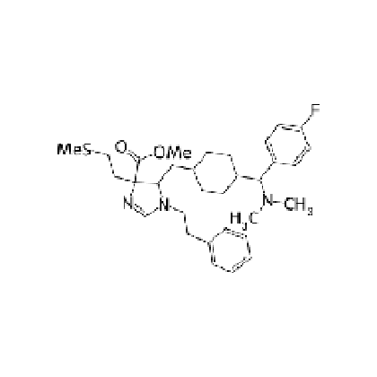 COC(=O)C1(CCSC)N=CN(CCc2ccccc2)C1CC1CCC(C(c2ccc(F)cc2)N(C)C)CC1